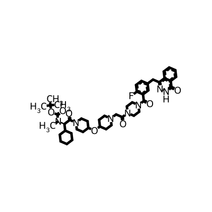 CN(C(=O)OC(C)(C)C)[C@@H](C(=O)N1CCC(OC2CCN(CC(=O)N3CCN(C(=O)c4cc(Cc5n[nH]c(=O)c6ccccc56)ccc4F)CC3)CC2)CC1)C1CCCCC1